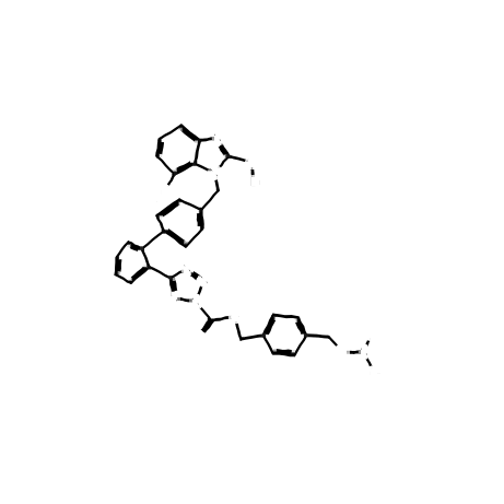 CCOc1nc2cccc(C(=O)O)c2n1Cc1ccc(-c2ccccc2-c2nnn(C(=O)OCc3ccc(CON(O)O)cc3)n2)cc1